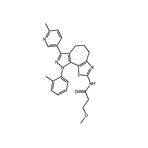 COCCC(=O)Nc1nc2c(s1)-c1c(c(-c3ccc(C)nc3)nn1-c1ccccc1C)CCC2